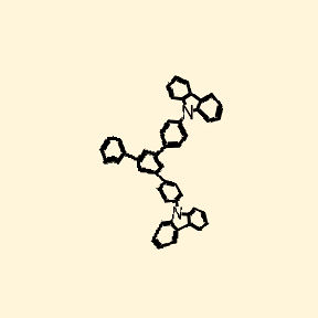 C1=CC2c3ccccc3N(c3ccc(-c4cc(-c5ccccc5)cc(-c5ccc(-n6c7ccccc7c7ccccc76)cc5)c4)cc3)C2C=C1